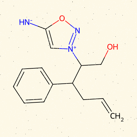 C=CCC(c1ccccc1)C(CO)[n+]1cc([NH-])on1